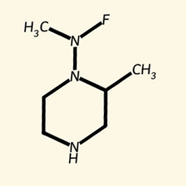 CC1CNCCN1N(C)F